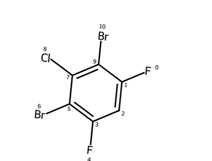 Fc1cc(F)c(Br)c(Cl)c1Br